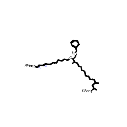 CCCCC/C=C/C=C/CCCCCCCOC(CNCC1=CC=CCC1)C(C)CCCCCCCCCC(C)CC(C)CCCCC